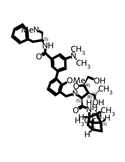 CNC[C@H](Cc1ccccc1)NC(=O)c1cc(-c2cccc(CN3O[C@@H](CO)[C@@H]([C@H](C)O)[C@H]3C(=O)N[C@H]3C[C@H]4C[C@@H]([C@@H]3C)C4(C)C)c2OC)cc(N(C)C)c1